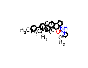 Cc1ccc(C2=CCC3(C)C(CCC4(C)C3CCC3C5CCCC5(NC(=O)N5CCC[C@H]5C)CC[C@]34C)C2(C)C)cc1